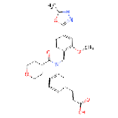 COc1cc(-c2nnc(C)o2)ccc1CN(C(=O)C1CCOCC1)c1cccc(C=CC(=O)O)c1